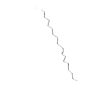 CCCCCCCCCCCCCCCC[CH]F